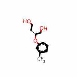 OCC[C@H](CO)Oc1cccc(C(F)(F)F)c1